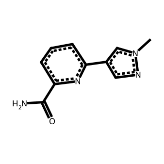 Cn1cc(-c2cccc(C(N)=O)n2)cn1